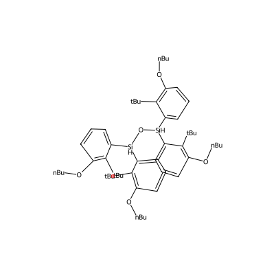 CCCCOc1cccc([SiH](O[SiH](c2cccc(OCCCC)c2C(C)(C)C)c2cccc(OCCCC)c2C(C)(C)C)c2cccc(OCCCC)c2C(C)(C)C)c1C(C)(C)C